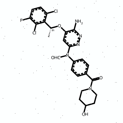 C[C@@H](Oc1cc(N(C=O)c2ccc(C(=O)N3CCC(O)CC3)cc2)nnc1N)c1c(Cl)ccc(F)c1Cl